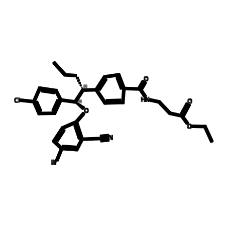 CCC[C@H](c1ccc(C(=O)NCCC(=O)OCC)cc1)[C@@H](Oc1ccc(Br)cc1C#N)c1ccc(Cl)cc1